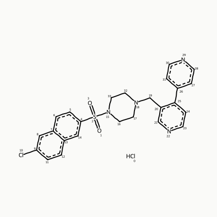 Cl.O=S(=O)(c1ccc2cc(Cl)ccc2c1)N1CCN(Cc2cnccc2-c2ccncc2)CC1